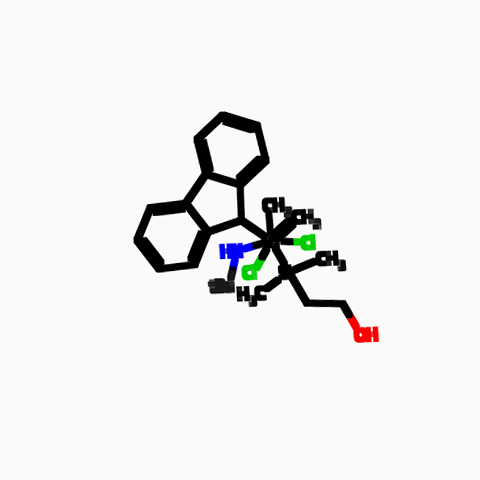 [CH2]=[Zr]([CH3])([Cl])([Cl])([NH]C(C)(C)C)([CH]1c2ccccc2-c2ccccc21)[Si](C)(C)CCO